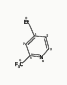 [CH2]Cc1ccnc(C(F)(F)F)c1